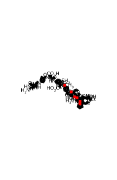 CC[C@]1(O)C[C@H]2CN(CCc3c([nH]c4ccccc34)[C@@](C(=O)OC)(c3cc4c(cc3OC)N(C)[C@H]3[C@@](O)(CNC(=O)c5ccc([Si](C)(C)O[Si](C)(CCCC(=O)O)c6ccc(NC(=O)CC[C@H](NC(=O)c7ccc(NCc8cnc9nc(N)[nH]c(=O)c9n8)cc7)C(=O)O)cc6)cc5)[C@H](O)[C@]5(CC)C=CCN6CC[C@]43[C@H]65)C2)C1